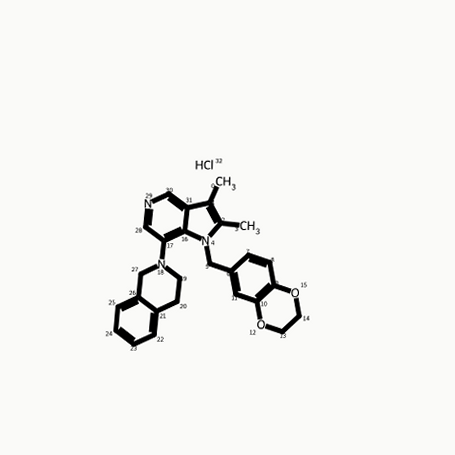 Cc1c(C)n(Cc2ccc3c(c2)OCCO3)c2c(N3CCc4ccccc4C3)cncc12.Cl